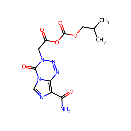 CC(C)COC(=O)OC(=O)Cn1nnc2c(C(N)=O)ncn2c1=O